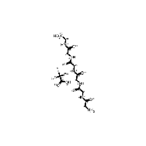 NCC(=O)NCC(=O)NCC(=O)NCC(=O)NCC(=O)NCC(=O)O.O=C(O)C(F)(F)F